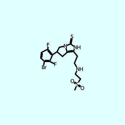 CS(=O)(=O)CCNCCc1[nH]c(=S)n2c1CC(c1c(F)ccc(Br)c1F)C2